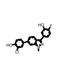 Cn1nc(-c2ccc(F)c(O)c2)c2ccc(-c3ccc(O)c(Cl)c3)cc21